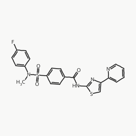 CN(c1ccc(F)cc1)S(=O)(=O)c1ccc(C(=O)Nc2nc(-c3ccccn3)cs2)cc1